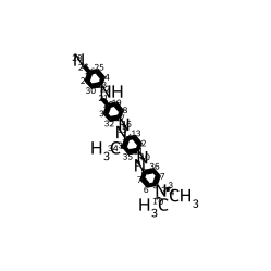 CCN(CC)c1ccc(N=Nc2ccc(N=Nc3ccc(CNc4ccc(C#N)cc4)cc3)c(C)c2)cc1